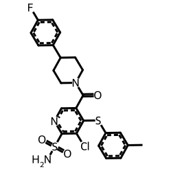 Cc1cccc(Sc2c(C(=O)N3CCC(c4ccc(F)cc4)CC3)cnc(S(N)(=O)=O)c2Cl)c1